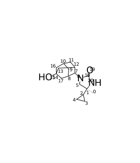 C[C@]1(C2CC2)CN(C2C3CC4CC2CC(O)(C4)C3)C(=O)N1